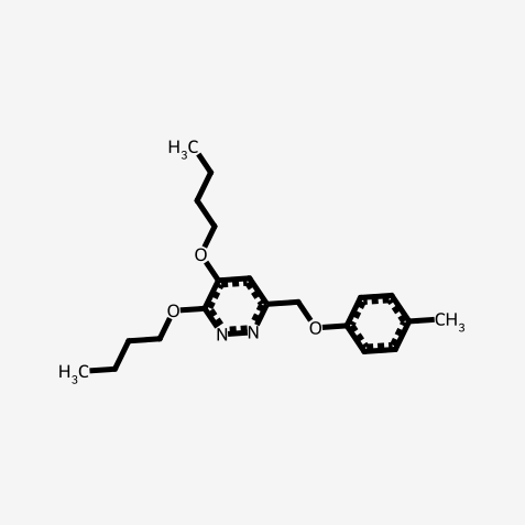 CCCCOc1cc(COc2ccc(C)cc2)nnc1OCCCC